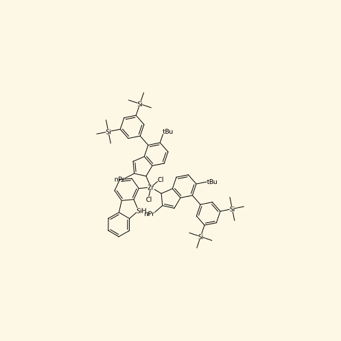 CCCC1=Cc2c(ccc(C(C)(C)C)c2-c2cc([Si](C)(C)C)cc([Si](C)(C)C)c2)[CH]1[Zr]([Cl])([Cl])([c]1cccc2c1[SiH2]c1ccccc1-2)[CH]1C(CCC)=Cc2c1ccc(C(C)(C)C)c2-c1cc([Si](C)(C)C)cc([Si](C)(C)C)c1